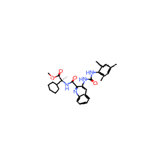 COC(=O)[C@@](C)(NC(=O)c1nc2ccccc2cc1NC(=O)Nc1c(C)cc(C)cc1C)C1CCCCC1